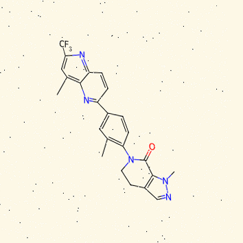 Cc1cc(-c2ccc3nc(C(F)(F)F)cc(C)c3n2)ccc1N1CCc2cnn(C)c2C1=O